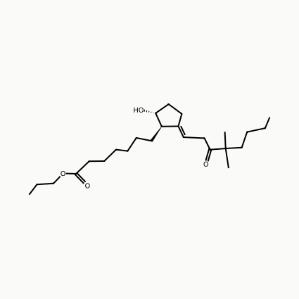 CCCCC(C)(C)C(=O)CC=C1CC[C@@H](O)[C@@H]1CCCCCCC(=O)OCCC